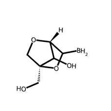 BC1O[C@@]2(CO)CO[C@H]1C2O